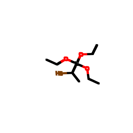 CCO[Si](OCC)(OCC)C(C)S